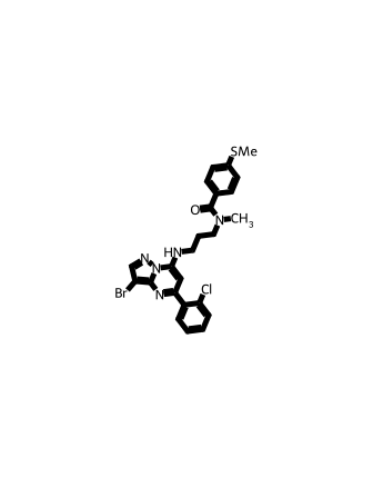 CSc1ccc(C(=O)N(C)CCCNc2cc(-c3ccccc3Cl)nc3c(Br)cnn23)cc1